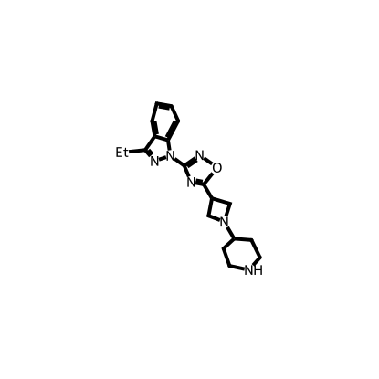 CCc1nn(-c2noc(C3CN(C4CCNCC4)C3)n2)c2ccccc12